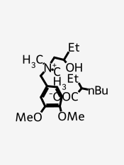 CCC(O)C[N+](C)(C)Cc1ccc(OC)c(OC)c1.CCCCC(CC)C(=O)[O-]